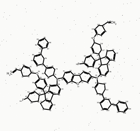 C=CC1C=CC(OC2C=CC(C3(c4ccc(F)cc4)C4=C(C=CCC4)C4C=CC(N(C5=CC6Oc7cc(N(c8ccc9c(c8)C(c8ccc(OC%10C=CC(C=C)CC%10)cc8)(C8C=CC(F)CC8)C8=C9C=CCC8)C8CC=C(C9C=CC=C(c%10ccccc%10)C9)CC8)ccc7C6C=C5)C5=CCC(C6=CC=CC(c7ccccc7)C6)CC5)=CC43)CC2)=CC1